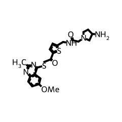 COc1ccc2nc(C)nc(SCC(=O)c3ccc(CNC(=O)CN4CCC(N)C4)s3)c2c1